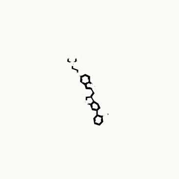 CCN(CC)CCOc1ccc2[nH]c(C=C3C(=O)Nc4cc(-c5ccccc5OC)ccc43)cc2c1